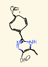 Cc1[nH]c(-c2ccc(C(F)(F)F)cc2)nc1C=O